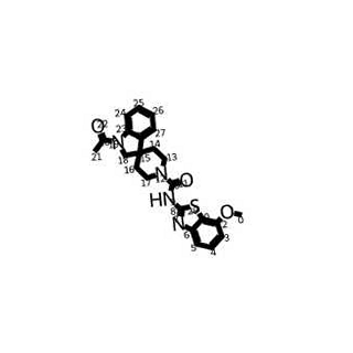 COc1cccc2nc(NC(=O)N3CCC4(CC3)CN(C(C)=O)c3ccccc34)sc12